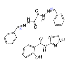 O=C(N/N=C\c1ccccc1)C(=O)N/N=C/c1ccccc1.O=C(Nc1nc[nH]n1)c1ccccc1O